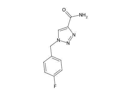 NC(=O)c1cn(Cc2ccc(F)cc2)nn1